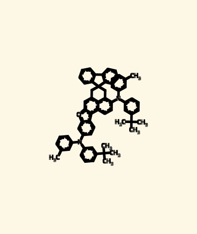 Cc1cccc(N(c2cccc(C(C)(C)C)c2)c2ccc3c(c2)oc2cc4c5c(c(N(c6cccc(C)c6)c6cccc(C(C)(C)C)c6)ccc5c23)CC2(C4)c3ccccc3-c3ccccc32)c1